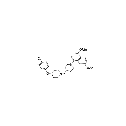 COC(=O)c1ccc(OC)cc1C(=O)N1CCC(CN2CCC(Oc3ccc(Cl)c(Cl)c3)CC2)CC1